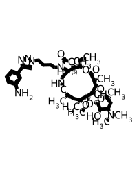 CC[C@H]1OC(=O)[C@H](C)C(=O)[C@H](C)[C@@H](O[C@@H]2OC(C)CC(N(C)C)C2O)[C@](C)(OC)C[C@@H](C)CNC[C@H]2N(CCCCn3cc(-c4cccc(N)c4)nn3)C(=O)O[C@]12C